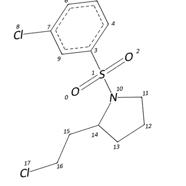 O=S(=O)(c1cccc(Cl)c1)N1CCCC1CCCl